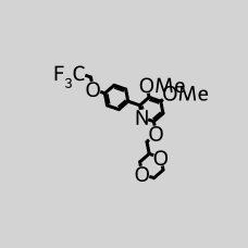 COc1cc(OCC2COCCO2)nc(-c2ccc(OCC(F)(F)F)cc2)c1OC